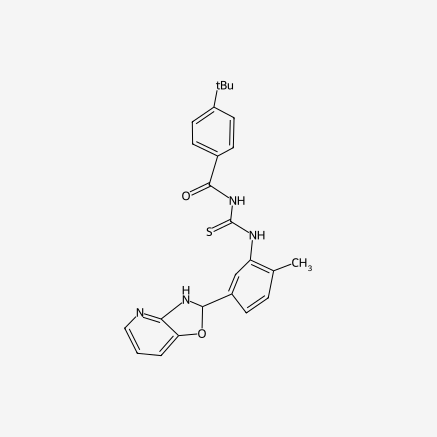 Cc1ccc(C2Nc3ncccc3O2)cc1NC(=S)NC(=O)c1ccc(C(C)(C)C)cc1